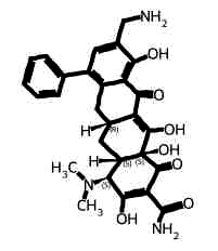 CN(C)[C@@H]1C(O)=C(C(N)=O)C(=O)[C@@]2(O)C(O)=C3C(=O)c4c(O)c(CN)cc(-c5ccccc5)c4C[C@H]3C[C@@H]12